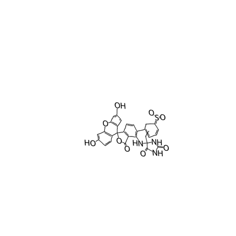 CCC1(Nc2c(C3=CC=CC(=S(=O)=O)C3)ccc3c2C(=O)OC32c3ccc(O)cc3Oc3cc(O)ccc32)NC(=O)NC1=O